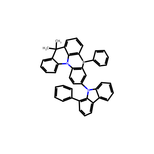 CC1(C)c2ccccc2N2c3ccc(-n4c5ccccc5c5cccc(-c6ccccc6)c54)cc3B(c3ccccc3)c3cccc1c32